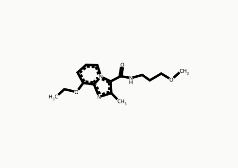 CCOc1cccn2c(C(=O)NCCCOC)c(C)nc12